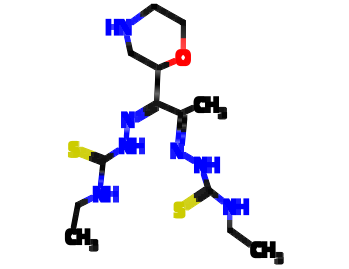 CCNC(=S)N/N=C(C)/C(=N\NC(=S)NCC)C1CNCCO1